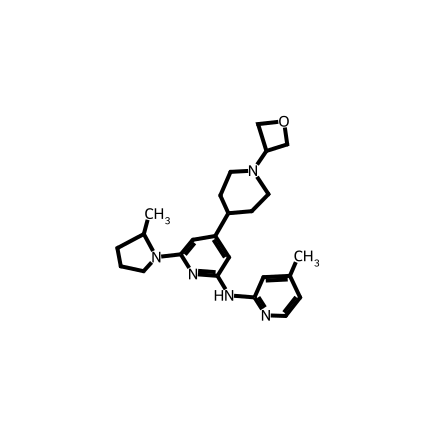 Cc1ccnc(Nc2cc(C3CCN(C4COC4)CC3)cc(N3CCCC3C)n2)c1